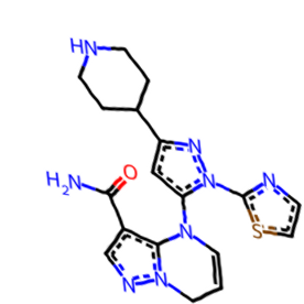 NC(=O)c1cnn2c1N(c1cc(C3CCNCC3)nn1-c1nccs1)C=CC2